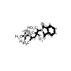 CC(CC(C)(C)C(C(=O)O)N1C(=O)c2ccccc2C1=O)O[Si](C)(C)C(C)(C)C